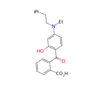 CCN(CCC(C)C)c1ccc(C(=O)c2ccccc2C(=O)O)c(O)c1